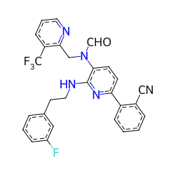 N#Cc1ccccc1-c1ccc(N(C=O)Cc2ncccc2C(F)(F)F)c(NCCc2cccc(F)c2)n1